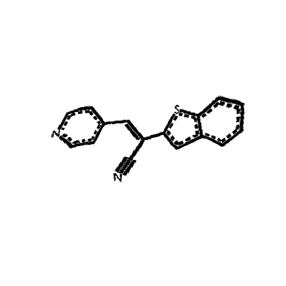 N#CC(=Cc1ccncc1)c1cc2ccccc2s1